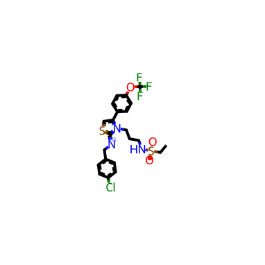 CCS(=O)(=O)NCCCn1c(-c2ccc(OC(F)(F)F)cc2)cs/c1=N\Cc1ccc(Cl)cc1